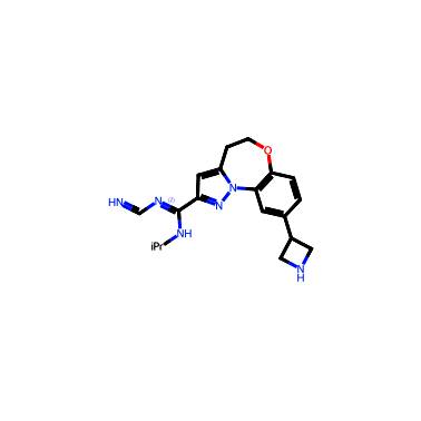 CC(C)N/C(=N\C=N)c1cc2n(n1)-c1cc(C3CNC3)ccc1OCC2